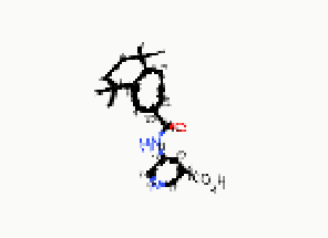 CC1(C)CCC(C)(C)c2cc(C(=O)Nc3cncc(C(=O)O)c3)ccc21